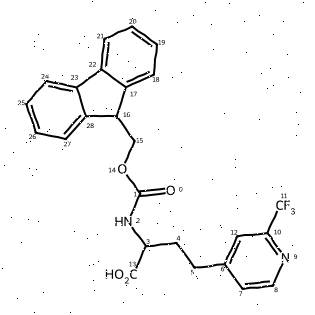 O=C(NC(CCc1ccnc(C(F)(F)F)c1)C(=O)O)OCC1c2ccccc2-c2ccccc21